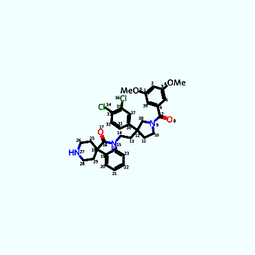 COc1cc(OC)cc(C(=O)N2CCC(CCNC(=O)C3(c4ccccc4)CCNCC3)(c3ccc(Cl)c(Cl)c3)C2)c1